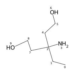 CCC(N)(CCO)CCO